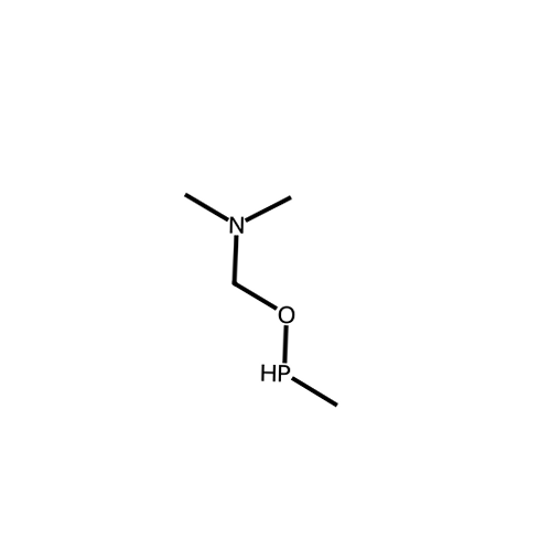 CPOCN(C)C